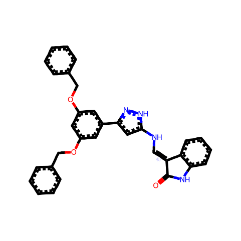 O=C1Nc2ccccc2/C1=C\Nc1cc(-c2cc(OCc3ccccc3)cc(OCc3ccccc3)c2)n[nH]1